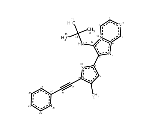 Cc1cc(-c2nc3cnccn3c2NC(C)(C)C)sc1C#Cc1ccccn1